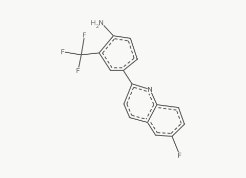 Nc1ccc(-c2ccc3cc(F)ccc3n2)cc1C(F)(F)F